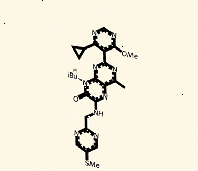 CC[C@@H](C)n1c(=O)c(NCc2ncc(SC)cn2)nc2c(C)nc(-c3c(OC)ncnc3C3CC3)nc21